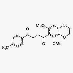 COc1cc2c(c(OC)c1C(=O)CCC(=O)c1ccc(C(F)(F)F)cc1)OCCO2